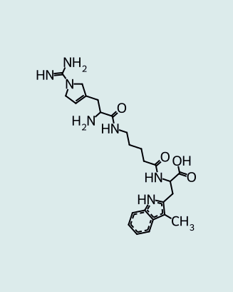 Cc1c(CC(NC(=O)CCCCNC(=O)C(N)CC2=CCN(C(=N)N)C2)C(=O)O)[nH]c2ccccc12